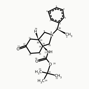 C[C@H](c1ccccc1)N1C[C@H]2CC(=O)CC[C@@]2(NC(=O)OC(C)(C)C)C1